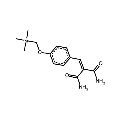 C[Si](C)(C)COc1ccc(C=C(C(N)=O)C(N)=O)cc1